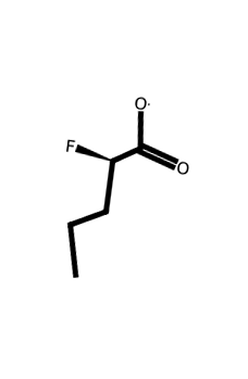 CCC[C@@H](F)C([O])=O